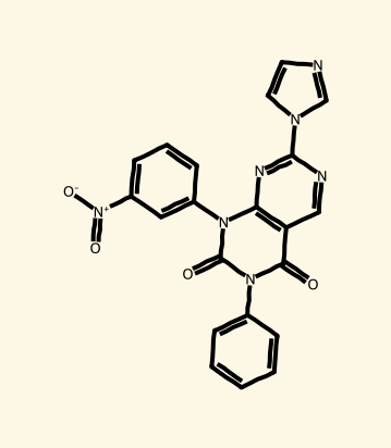 O=c1c2cnc(-n3ccnc3)nc2n(-c2cccc([N+](=O)[O-])c2)c(=O)n1-c1ccccc1